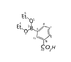 CCOB(OCC)c1cccc(C(=O)O)c1